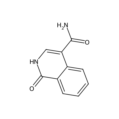 NC(=O)c1c[nH]c(=O)c2ccccc12